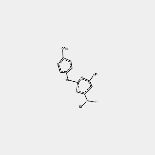 CCCc1cc(N(CC)CC)nc(Nc2ccc(OC)nc2)n1